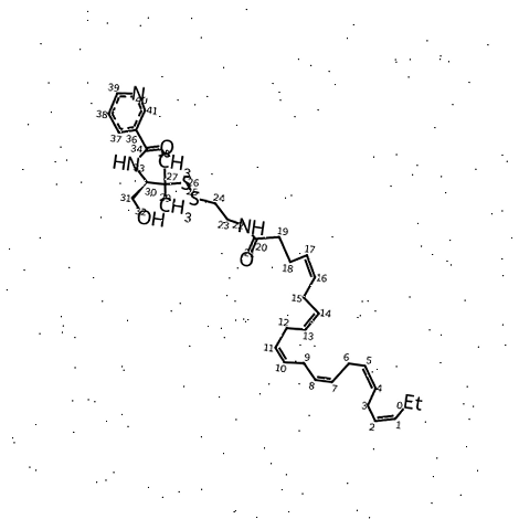 CC/C=C\C/C=C\C/C=C\C/C=C\C/C=C\C/C=C\CCC(=O)NCCSSC(C)(C)[C@@H](CO)NC(=O)c1cccnc1